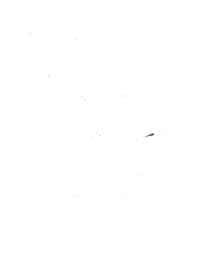 CC(C)(C)OC(=O)N1C[C@H]2CSC(NC(=O)c3ccccc3)=N[C@]2(c2cc(Br)ccc2F)C1